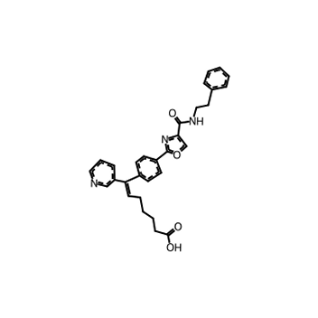 O=C(O)CCCC/C=C(\c1ccc(-c2nc(C(=O)NCCc3ccccc3)co2)cc1)c1cccnc1